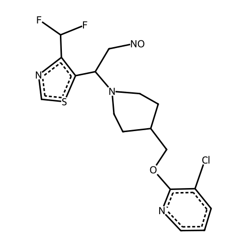 O=NCC(c1scnc1C(F)F)N1CCC(COc2ncccc2Cl)CC1